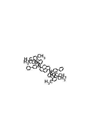 Cc1ccc(C(C)(C)C)c2oc3c(N(c4ccc(-c5ccccc5)cc4)c4ccc5ccc6c(N(c7ccc(-c8ccccc8)cc7)c7cccc8c7oc7c(C(C)(C)C)ccc(C)c78)ccc7ccc4c5c76)cccc3c12